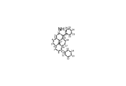 Nc1cc2ccc3ccc(-c4ccccc4)c4ccc(c1-c1ccccc1)c2c34